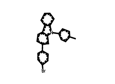 Cc1ccc(-n2c3ccccc3c3ccc(-c4ccc(Br)cc4)cc32)cc1